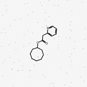 O=C(Cc1ccccn1)OC1CCCCCCC1